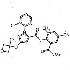 CNC(=O)c1cc(C#N)cc(C)c1NC(=O)c1cc(OC2(C(F)(F)F)COC2)nn1-c1ncccc1Cl